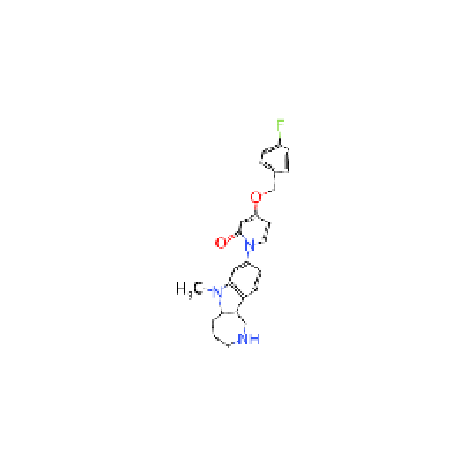 CN1c2cc(-n3ccc(OCc4ccc(F)cc4)cc3=O)ccc2C2CNCCCC21